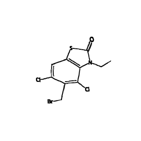 CCn1c(=O)sc2cc(Cl)c(CBr)c(Cl)c21